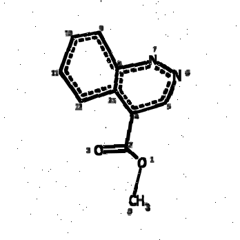 COC(=O)c1cnnc2ccccc12